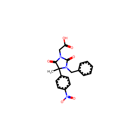 CC1(c2ccc([N+](=O)[O-])cc2)C(=O)N(CC(=O)O)C(=O)N1Cc1ccccc1